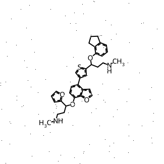 CNCCC(Oc1ccc(-c2csc(C(CCNC)Oc3cccc4c3CCC4)c2)c2ccoc12)c1ccco1